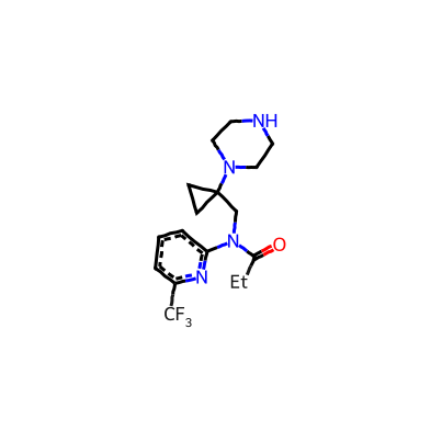 CCC(=O)N(CC1(N2CCNCC2)CC1)c1cccc(C(F)(F)F)n1